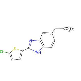 CCOC(=O)Cc1ccc2[nH]c(-c3ccc(Cl)s3)nc2c1